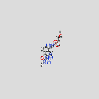 CCNC(=O)Nc1cc2cccc(CNC(=O)OCCOC)c2cn1